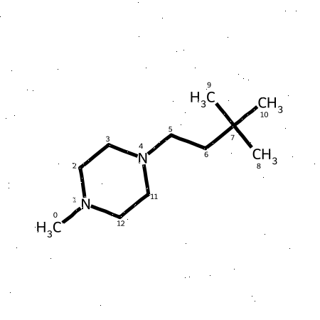 CN1CCN(CCC(C)(C)C)CC1